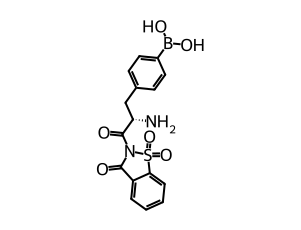 N[C@@H](Cc1ccc(B(O)O)cc1)C(=O)N1C(=O)c2ccccc2S1(=O)=O